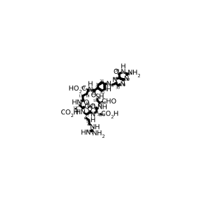 N=C(N)NCCC[C@H](NC(=O)[C@H](CC(=O)O)NC(=O)CC[C@H](NC(=O)c1ccc(NCc2cnc3nc(N)[nH]c(=O)c3n2)cc1)C(=O)O)C(=O)N[C@@H](CC(=O)O)C(=O)N[C@H](C=O)CS